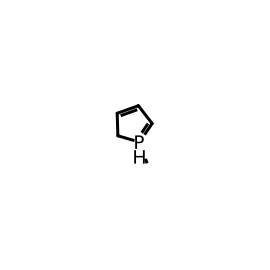 C[PH]1=CC=CC1